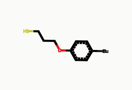 CCC(C)c1ccc(OCCCS)cc1